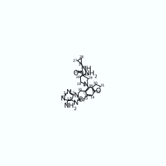 Nc1ncnc2c1ncn2Cc1c(Br)cc2c(c1N1CCC(N)(C(=O)NC3CC3)C1)CCO2